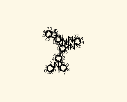 c1ccc(-n2c3ccccc3c3cc(-c4cc5c6cc7c(cc6n6c8nc9ccccc9nc8c(c4)c56)sc4ccccc47)ccc32)cc1